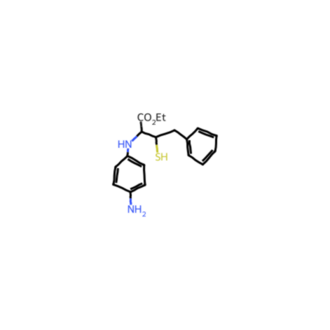 CCOC(=O)C(Nc1ccc(N)cc1)C(S)Cc1ccccc1